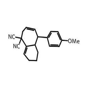 COc1ccc(C2C=CCC(C#N)(C#N)C3=CCCCC32)cc1